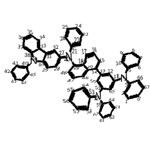 c1ccc(N(c2ccccc2)c2cc(-c3cccc4c(N(c5ccccc5)c5ccc6c(c5)c5ccccc5n6-c5ccccc5)cccc34)cc(N(c3ccccc3)c3ccccc3)c2)cc1